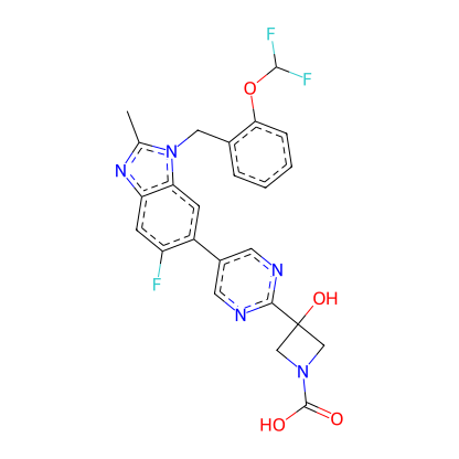 Cc1nc2cc(F)c(-c3cnc(C4(O)CN(C(=O)O)C4)nc3)cc2n1Cc1ccccc1OC(F)F